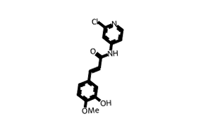 COc1ccc(C=CC(=O)Nc2ccnc(Cl)c2)cc1O